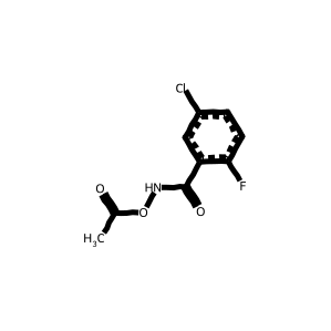 CC(=O)ONC(=O)c1cc(Cl)ccc1F